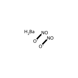 O=[NH+][O-].O=[NH+][O-].[BaH2]